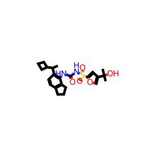 CC(c1ccc2c(c1NC(=O)NS(=O)(=O)c1cc(C(C)(C)O)co1)CCC2)C1CCC1